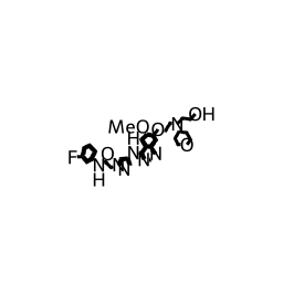 COc1cc2c(Nc3cnn(CC(=O)Nc4cccc(F)c4)c3)ncnc2cc1OCCN(CCO)C1CCOCC1